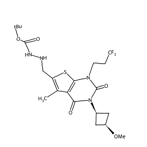 CO[C@H]1C[C@@H](n2c(=O)c3c(C)c(CNNC(=O)OC(C)(C)C)sc3n(CCC(F)(F)F)c2=O)C1